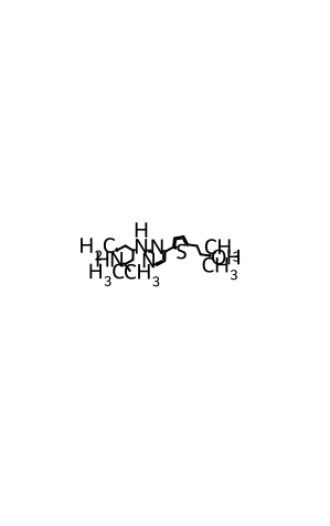 C=C1CC(Nc2nccc(-c3ccc(CCC(C)(C)O)s3)n2)CC(C)(C)N1